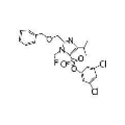 CC(C)c1nc(COCc2ccccc2)n(CF)c1S(=O)(=O)Oc1cc(Cl)cc(Cl)c1